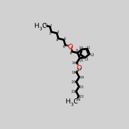 CCCCCCCOCC1C2C=CC(C2)C1COCCCCCCC